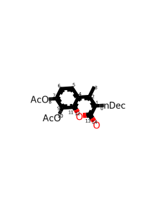 CCCCCCCCCCc1c(C)c2ccc(OC(C)=O)c(OC(C)=O)c2oc1=O